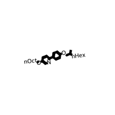 CCCCCCCCOc1ccc(-c2ccc(OCC(C)CCCCCC)cc2)nc1